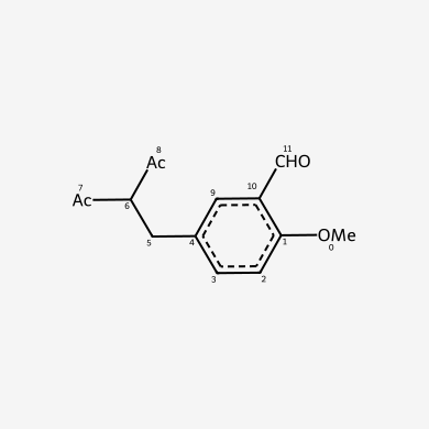 COc1ccc(CC(C(C)=O)C(C)=O)cc1C=O